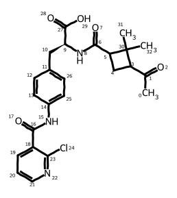 CC(=O)C1CC(C(=O)N[C@@H](Cc2ccc(NC(=O)c3cccnc3Cl)cc2)C(=O)O)C1(C)C